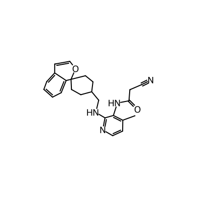 Cc1ccnc(NCC2CCC3(CC2)OC=Cc2ccccc23)c1NC(=O)CC#N